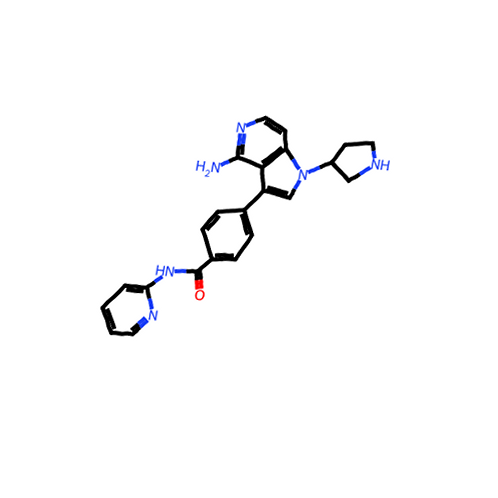 Nc1nccc2c1c(-c1ccc(C(=O)Nc3ccccn3)cc1)cn2C1CCNC1